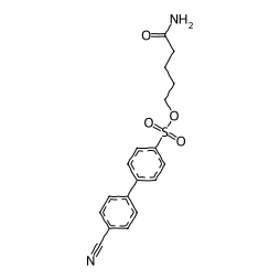 N#Cc1ccc(-c2ccc(S(=O)(=O)OCCCCC(N)=O)cc2)cc1